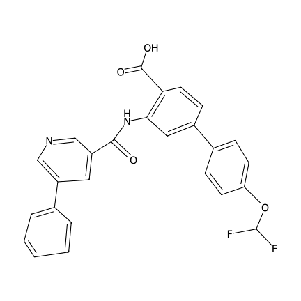 O=C(Nc1cc(-c2ccc(OC(F)F)cc2)ccc1C(=O)O)c1cncc(-c2ccccc2)c1